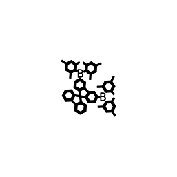 Cc1cc(C)c(B(c2ccc3c(c2)-c2cc(B(c4c(C)cc(C)cc4C)c4c(C)cc(C)cc4C)ccc2C32c3ccccc3-c3ccccc32)c2c(C)cc(C)cc2C)c(C)c1